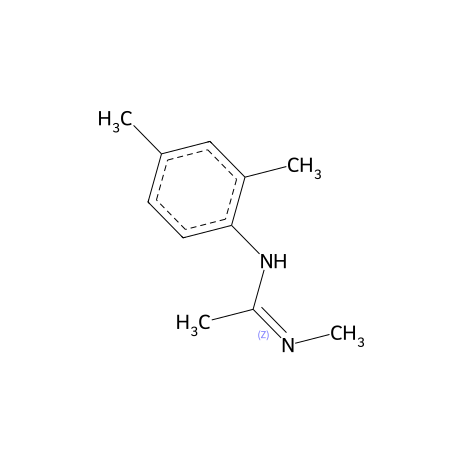 C/N=C(/C)Nc1ccc(C)cc1C